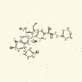 C=CN(C)/C(=C\N)C(O)(c1ccc(C(=O)NCCN2CCOCC2)cc1)c1ccc2c(c1)c(-c1cccc(Cl)c1)cc(=O)n2C